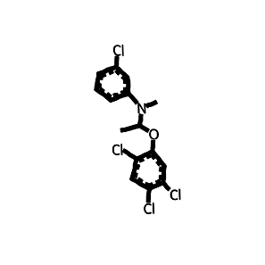 CC(Oc1cc(Cl)c(Cl)cc1Cl)N(C)c1cccc(Cl)c1